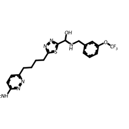 CC(=O)Nc1ccc(CCCCc2nnc(C(O)NCc3cccc(OC(F)(F)F)c3)s2)nn1